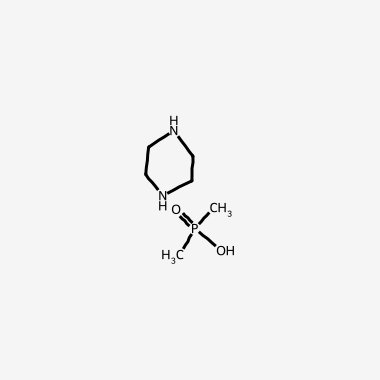 C1CNCCN1.CP(C)(=O)O